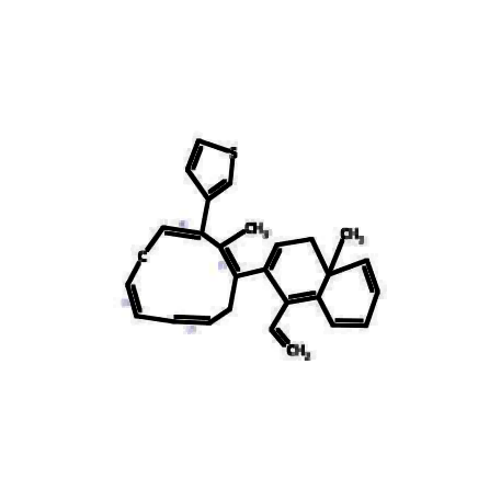 C=CC1=C2C=CC=CC2(C)CC=C1/C1=C(C)/C(c2ccsc2)=C\C/C=C\C=C/C1